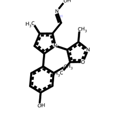 Cc1cc(O)ccc1-c1cc(C)c(/C=N/O)n1-c1c(C)noc1C